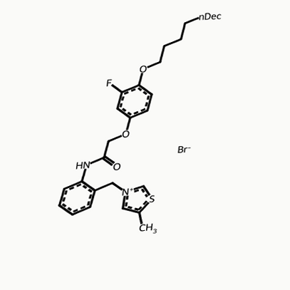 CCCCCCCCCCCCCCOc1ccc(OCC(=O)Nc2ccccc2C[n+]2csc(C)c2)cc1F.[Br-]